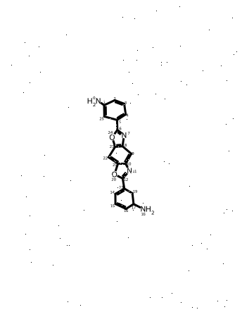 Nc1cccc(-c2nc3cc4nc(C5=CC=CC(N)C5)oc4cc3o2)c1